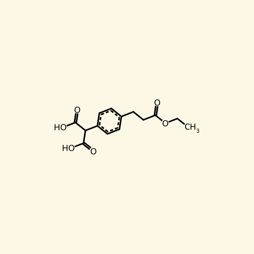 CCOC(=O)CCc1ccc(C(C(=O)O)C(=O)O)cc1